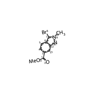 COC(=O)c1ccc2c(Br)n(C)nc2c1